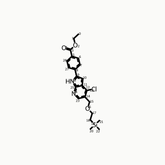 CCOC(=O)c1ccc(-c2cc3c(Cl)c(COCC[Si](C)(C)C)cnc3[nH]2)cc1